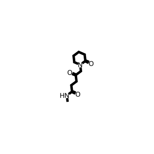 CNC(=O)CCC(=O)CN1CCCCC1=O